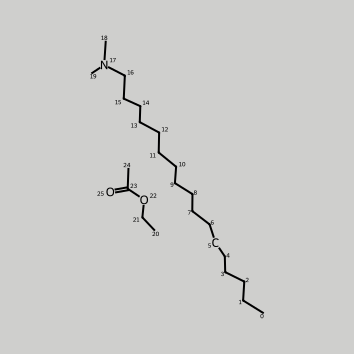 CCCCCCCCCCCCCCCCCN(C)C.CCOC(C)=O